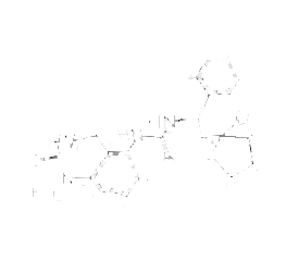 CN1C(=O)NCc2c(NC(=O)N[C@@H]3CC4(CCCC4)Oc4ccccc43)cccc21